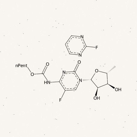 CCCCCOC(=O)Nc1nc(=O)n([C@@H]2O[C@H](C)[C@@H](O)[C@H]2O)cc1F.Fc1ncccn1